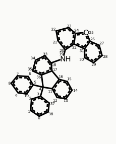 c1ccc(C2(c3ccccc3)c3ccccc3-c3c(Nc4cccc5oc6ccccc6c45)cccc32)cc1